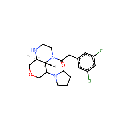 O=C(Cc1cc(Cl)cc(Cl)c1)N1CCN[C@@H]2COCC(N3CCCC3)[C@H]21